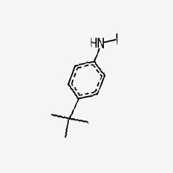 CC(C)(C)c1ccc(NI)cc1